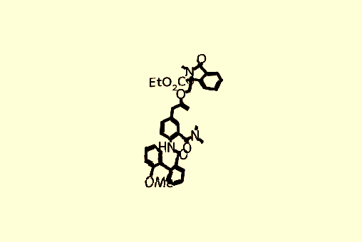 C=C(Cc1ccc(NC(=O)c2ccccc2-c2ccccc2OC)c(C(=O)N(C)C)c1)OC[C@@]1(C(=O)OCC)c2ccccc2C(=O)N1C